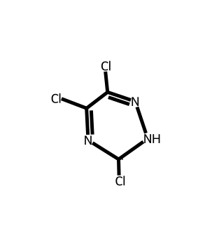 Cl[C]1N=C(Cl)C(Cl)=NN1